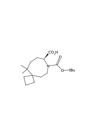 CC(C)(C)OC(=O)N1CCC2(CCC2)C(C)(C)CC[C@H]1C(=O)O